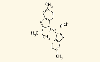 Cc1ccc2c(c1)C=C[CH]2[Zr+2][CH]1C(C(C)C)=Cc2cc(C)ccc21.[Cl-].[Cl-]